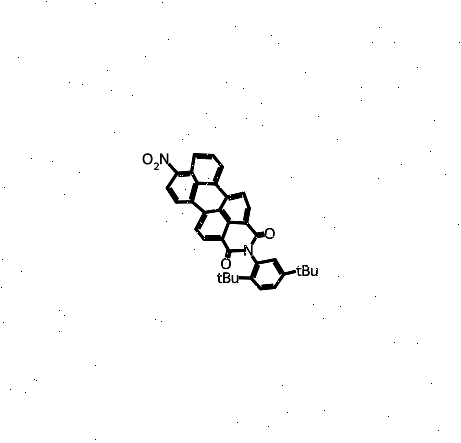 CC(C)(C)c1ccc(C(C)(C)C)c(N2C(=O)c3ccc4c5cccc6c([N+](=O)[O-])ccc(c7ccc(c3c47)C2=O)c65)c1